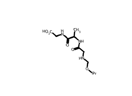 CC(C)OCNCC(=O)NC(C)C(=O)NCC(=O)O